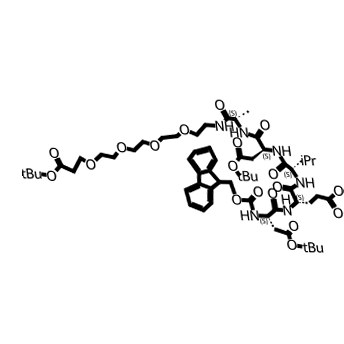 CC(C)[C@H](NC(=O)[C@H](CCC(=O)OC(C)(C)C)NC(=O)[C@H](CC(=O)OC(C)(C)C)NC(=O)OCC1c2ccccc2-c2ccccc21)C(=O)N[C@@H](CC(=O)OC(C)(C)C)C(=O)N[C@@H](C)C(=O)NCCOCCOCCOCCOCCC(=O)OC(C)(C)C